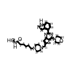 O=C(CCCCCN1CCN(Cc2cc3nc(-c4cccc5[nH]ncc45)nc(N4CCOCC4)c3s2)CC1)NO